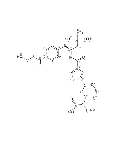 CCCCCCN(C(=O)CCCC)[C@H](CC(OCC)c1nc(C(=O)N[C@@H](Cc2ccc(NCCO)cc2)CC(C)(C)C(=O)O)cs1)C(C)C